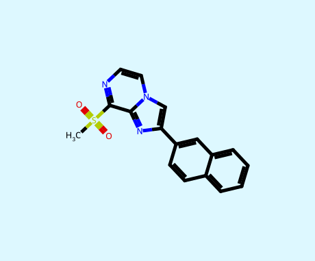 CS(=O)(=O)c1nccn2cc(-c3ccc4ccccc4c3)nc12